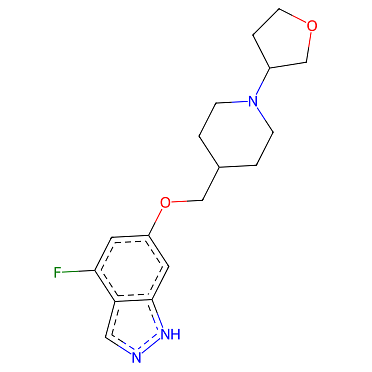 Fc1cc(OCC2CCN(C3CCOC3)CC2)cc2[nH]ncc12